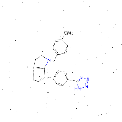 COc1ccc(CN2CCc3cccc(-c4ccc(-c5nnn[nH]5)cc4)c32)cc1